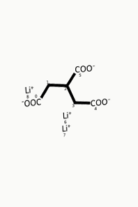 O=C([O-])CC(CC(=O)[O-])C(=O)[O-].[Li+].[Li+].[Li+]